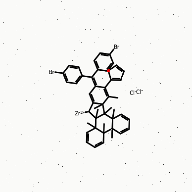 CC1=C(C2=CC=CC2)C(=C(c2ccc(Br)cc2)c2ccc(Br)cc2)C=C2[CH]([Zr+2])C3(C)C4(C)C=CC=CC4(C)C4(C)C=CC=CC4(C)C3(C)C21C.[Cl-].[Cl-]